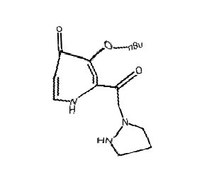 CCCCOc1c(C(=O)N2CCCN2)[nH]ccc1=O